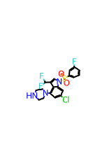 O=S(=O)(c1cccc(F)c1)n1cc(C(F)F)c2c(N3CCNCC3)cc(Cl)cc21